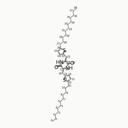 CCCCCCCCCCCCc1ccc(/C=c2\[nH]c(=O)/c(=C/c3ccc(CCCCCCCCCCCC)s3)[nH]c2=O)s1